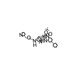 CC(C)(C)OC(=O)Nc1ccc(-c2ccccc2)cc1NC(=O)c1ncc(NCCOCc2cccnc2)cn1